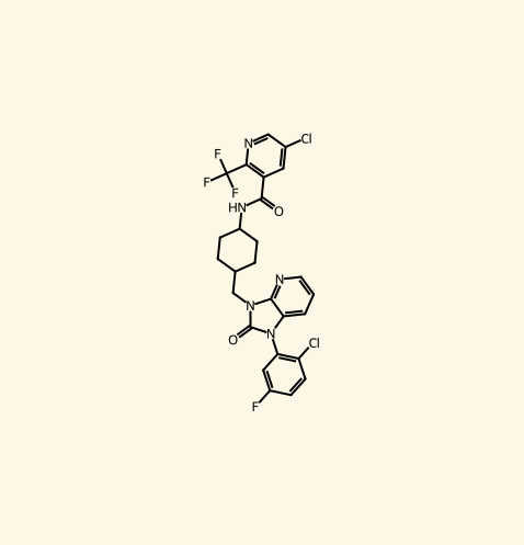 O=C(NC1CCC(Cn2c(=O)n(-c3cc(F)ccc3Cl)c3cccnc32)CC1)c1cc(Cl)cnc1C(F)(F)F